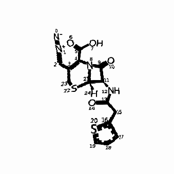 [N-]=[N+]=CC1=C(C(=O)O)N2C(=O)[C@@H](NC(=O)Cc3cccs3)[C@@H]2SC1